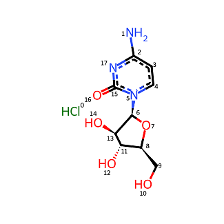 Cl.Nc1ccn([C@H]2O[C@@H](CO)[C@H](O)[C@H]2O)c(=O)n1